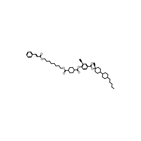 C#Cc1cc(C(=O)OC2(C#C)CCC(C3CCC(CCCCC)CC3)CC2)ccc1OC(=O)C1CCC(C(=O)OCCCCCCCCOC(=O)/C=C/c2ccccc2)CC1